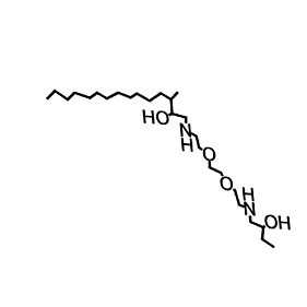 CCCCCCCCCCCCC(C)C(O)CNCCOCCOCCNCC(O)CC